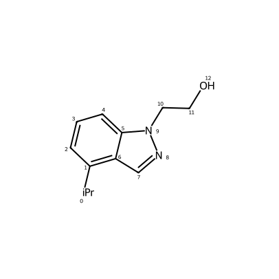 CC(C)c1cccc2c1cnn2CCO